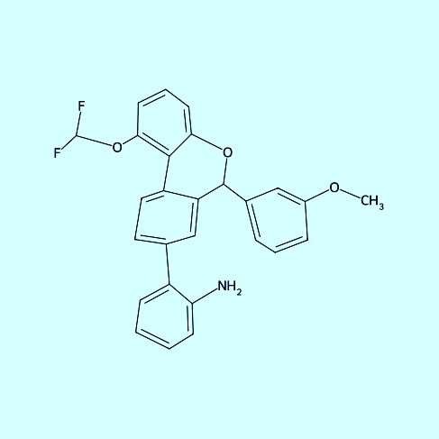 COc1cccc(C2Oc3cccc(OC(F)F)c3-c3ccc(-c4ccccc4N)cc32)c1